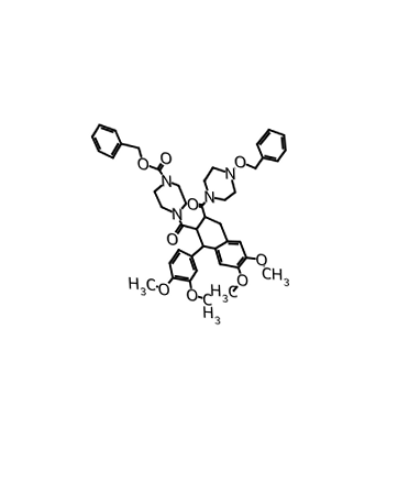 COc1ccc(C2c3cc(OC)c(OC)cc3CC(C(=O)N3CCN(OCc4ccccc4)CC3)C2C(=O)N2CCN(C(=O)OCc3ccccc3)CC2)cc1OC